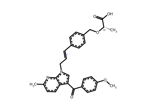 COc1ccc(C(=O)c2cn(C/C=C/c3ccc(CO[C@@H](C)C(=O)O)cc3)c3nc(C)ccc23)cc1